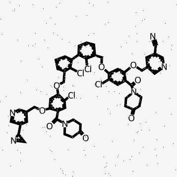 N#Cc1cncc(COc2cc(OCc3cccc(-c4cccc(COc5cc(OCc6cncc(C7C=N7)c6)c(C(=O)N6CCC(=O)CC6)cc5Cl)c4Cl)c3Cl)c(Cl)cc2C(=O)N2CCC(=O)CC2)c1